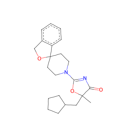 CC1(CC2CCCC2)OC(N2CCC3(CC2)OCc2ccccc23)=NC1=O